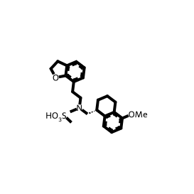 COc1cccc2c1CCC[C@H]2CN(C)CCc1cccc2c1OCC2.CS(=O)(=O)O